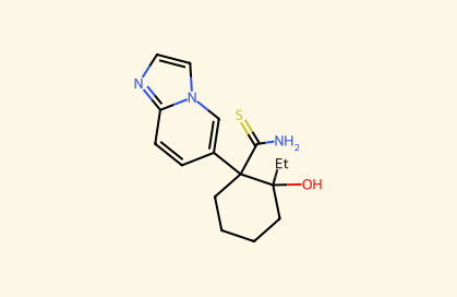 CCC1(O)CCCCC1(C(N)=S)c1ccc2nccn2c1